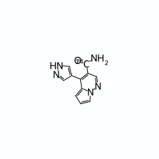 N[14C](=O)c1cnn2cccc2c1-c1cn[nH]c1